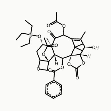 CC[Si](CC)(CC)O[C@H]1CC2OC[C@@]2(OC(C)=O)[C@H]2[C@H](OC(=O)c3ccccc3)[C@]34OC(=O)O[C@H]3[C@H](O)C(C)=C(C(OC(C)=O)C(=O)[C@]12C)C4(C)C